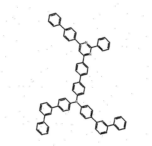 c1ccc(-c2ccc(-c3cc(-c4ccc(-c5ccc(N(c6ccc(-c7cccc(-c8ccccc8)c7)cc6)c6ccc(-c7cccc(-c8ccccc8)c7)cc6)cc5)cc4)nc(-c4ccccc4)n3)cc2)cc1